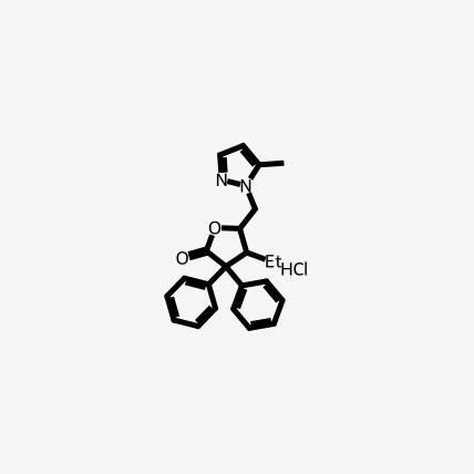 CCC1C(Cn2nccc2C)OC(=O)C1(c1ccccc1)c1ccccc1.Cl